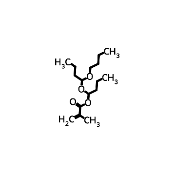 C=C(C)C(=O)OC(CCC)OC(CCC)OCCCC